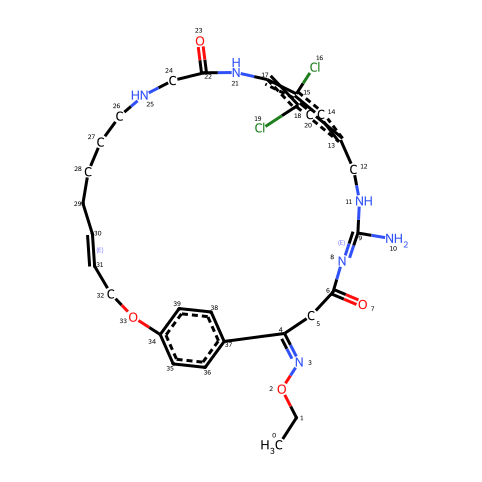 CCON=C1CC(=O)/N=C(\N)NCc2cc(Cl)c(c(Cl)c2)NC(=O)CNCCCC/C=C/COc2ccc1cc2